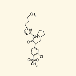 CCCCn1ccc(NC(=O)C(CC2CCCC2)c2ccc(S(C)(=O)=O)c(Cl)c2)n1